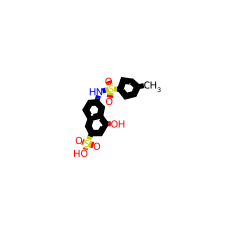 Cc1ccc(S(=O)(=O)Nc2ccc3cc(S(=O)(=O)O)cc(O)c3c2)cc1